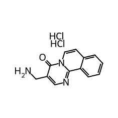 Cl.Cl.NCc1cnc2c3ccccc3ccn2c1=O